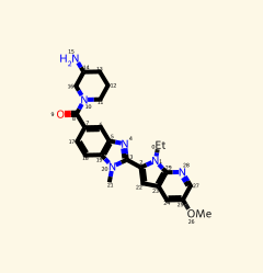 CCn1c(-c2nc3cc(C(=O)N4CCCC(N)C4)ccc3n2C)cc2cc(OC)cnc21